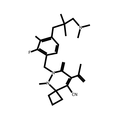 C=C(C)C1=C(C#N)C2(CCC2)N(C)N(Cc2ccc(CC(C)(C)CN(C)C)c(C)c2F)C1=C